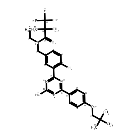 CCN(Cc1ccc(Cl)c(-c2nc(O)nc(-c3ccc(OCC(C)(C)C)cc3)n2)c1)C(=O)C(C)(C)C(F)(F)F